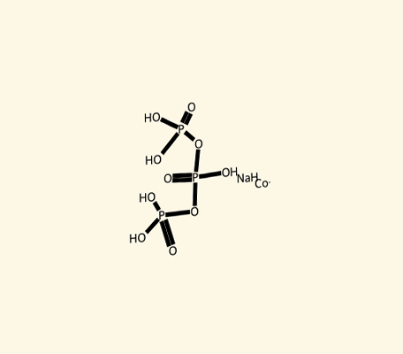 O=P(O)(O)OP(=O)(O)OP(=O)(O)O.[Co].[NaH]